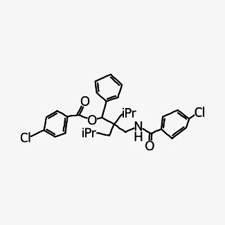 CC(C)CC(CNC(=O)c1ccc(Cl)cc1)(C(C)C)C(OC(=O)c1ccc(Cl)cc1)c1ccccc1